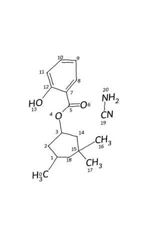 CC1CC(OC(=O)c2ccccc2O)CC(C)(C)C1.N#CN